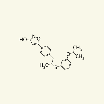 CC(C)Oc1cccc(SC(C)Cc2ccc(-c3cc(O)no3)cc2)c1